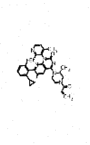 C=CC(=O)N1CCN(c2nc(=O)n(-c3c(C)ccnc3CC)c3nc(-c4c(F)cccc4C4CC4)c(F)cc23)[C@@H](C)C1